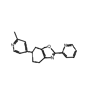 Cc1cc(C2CCc3nc(-c4ccccn4)oc3C2)ccn1